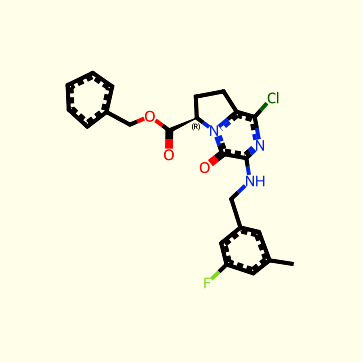 Cc1cc(F)cc(CNc2nc(Cl)c3n(c2=O)[C@@H](C(=O)OCc2ccccc2)CC3)c1